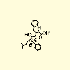 CC(C)CCN(C(O)CC(Cc1ccccc1)NC(=O)O)S(=O)(=O)c1ccccc1